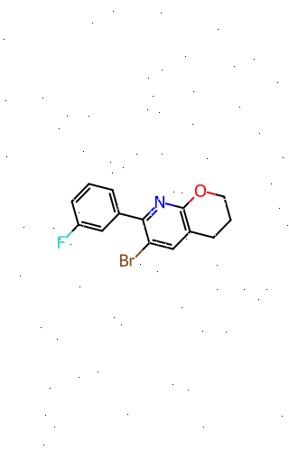 Fc1cccc(-c2nc3c(cc2Br)CCCO3)c1